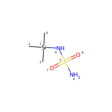 C[Si](C)(C)NS(N)(=O)=O